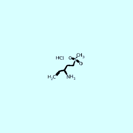 C=CC(N)CCS(C)(=O)=O.Cl